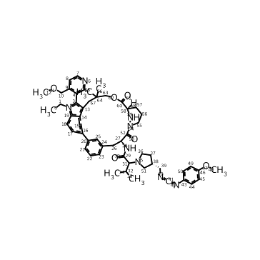 CCn1c(-c2cnccc2COC)c2c3cc(ccc31)-c1cccc(c1)C[C@H](NC(=O)C(C(C)C)N1CC[C@H](CN=C=Nc3ccc(OC)cc3)C1)C(=O)N1CCC[C@H](N1)C(=O)OCC(C)(C)C2